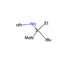 CCCN[Si](CC)(NC)C(C)(C)C